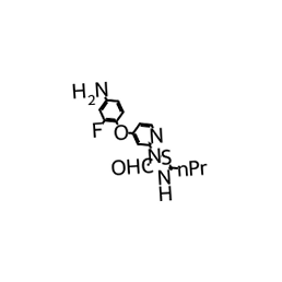 CCCC(=N)SN(C=O)c1cc(Oc2ccc(N)cc2F)ccn1